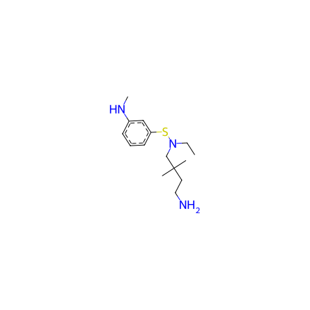 CCN(CC(C)(C)CCN)Sc1cccc(NC)c1